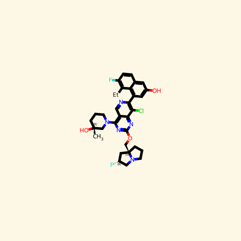 CCc1c(F)ccc2cc(O)cc(-c3ncc4c(N5CCC[C@@](C)(O)C5)nc(OC[C@@]56CCCN5C[C@H](F)C6)nc4c3Cl)c12